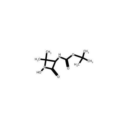 CC(C)(C)OC(=O)NC1C(=O)N(O)C1(C)C